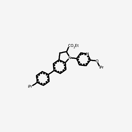 CCOC(=O)C1Cc2cc(-c3ccc(C(C)C)cc3)ccc2N1c1ccc(OC(C)C)nc1